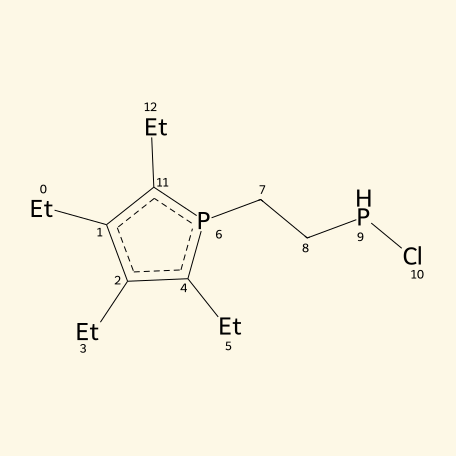 CCc1c(CC)c(CC)p(CCPCl)c1CC